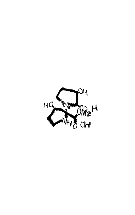 COC(=O)[C@@]1(N2CCC(O)[C@H]2C(=O)O)NCC[C@@H]1O.Cl